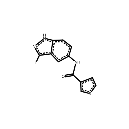 O=C(Nc1ccc2[nH]nc(I)c2c1)c1ccsc1